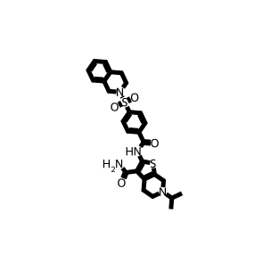 CC(C)N1CCc2c(sc(NC(=O)c3ccc(S(=O)(=O)N4CCc5ccccc5C4)cc3)c2C(N)=O)C1